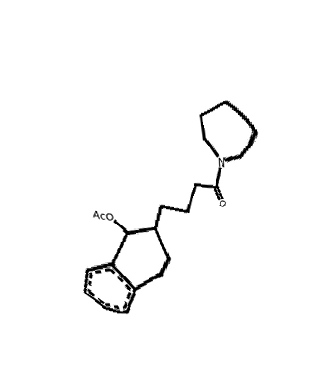 CC(=O)OC1c2ccccc2CCC1CCCC(=O)N1CCCCC1